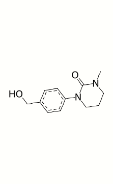 CN1CCCN(c2ccc(CO)cc2)C1=O